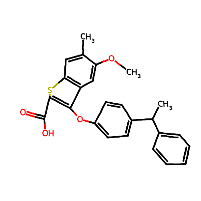 COc1cc2c(Oc3ccc(C(C)c4ccccc4)cc3)c(C(=O)O)sc2cc1C